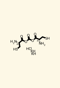 Cl.N[C@@H](CS)C(=O)OC(=O)OC(=O)[C@@H](N)CS.[KH].[KH]